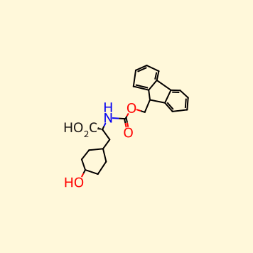 O=C(N[C@@H](CC1CCC(O)CC1)C(=O)O)OCC1c2ccccc2-c2ccccc21